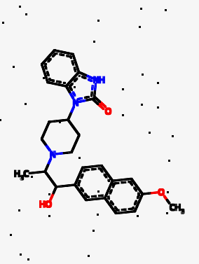 COc1ccc2cc(C(O)C(C)N3CCC(n4c(=O)[nH]c5ccccc54)CC3)ccc2c1